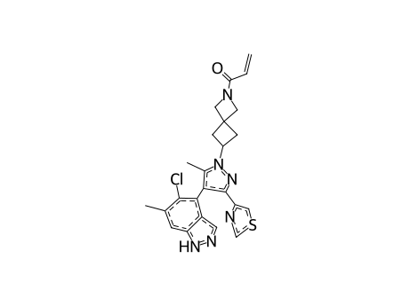 C=CC(=O)N1CC2(CC(n3nc(-c4cscn4)c(-c4c(Cl)c(C)cc5[nH]ncc45)c3C)C2)C1